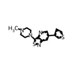 CN1CCN(c2snc3cc(-c4ccsc4)cnc23)CC1